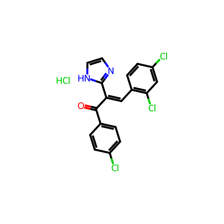 Cl.O=C(/C(=C/c1ccc(Cl)cc1Cl)c1ncc[nH]1)c1ccc(Cl)cc1